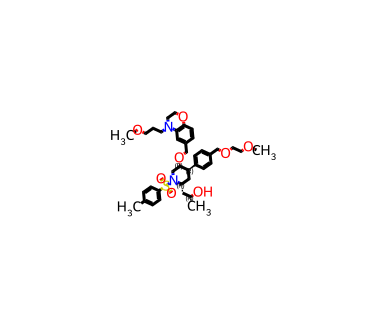 COCCCN1CCOc2ccc(CO[C@H]3CN(S(=O)(=O)c4ccc(C)cc4)[C@@H](C[C@@H](C)O)C[C@@H]3c3ccc(COCCOC)cc3)cc21